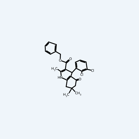 CC1=C(C(=O)OCc2ccccc2)C(c2cccc(Cl)c2Cl)C2=C(CC(C)(C)CC2=O)N1